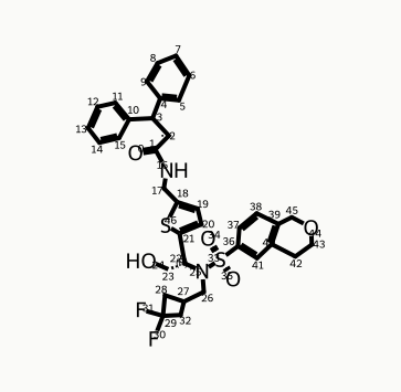 O=C([CH]C(c1ccccc1)c1ccccc1)NCc1ccc([C@@H](CO)N(CC2CC(F)(F)C2)S(=O)(=O)c2ccc3c(c2)CCOC3)s1